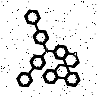 c1ccc(-c2ccc(N(c3ccc(-c4ccccc4)cc3)c3ccc4c(c3)C3(Cc5ccccc5-c5ccccc53)c3ccccc3O4)cc2)cc1